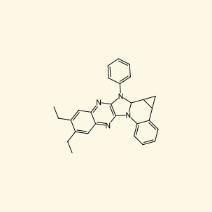 CCc1cc2nc3c(nc2cc1CC)N1c2ccccc2C2CC2C1N3c1ccccc1